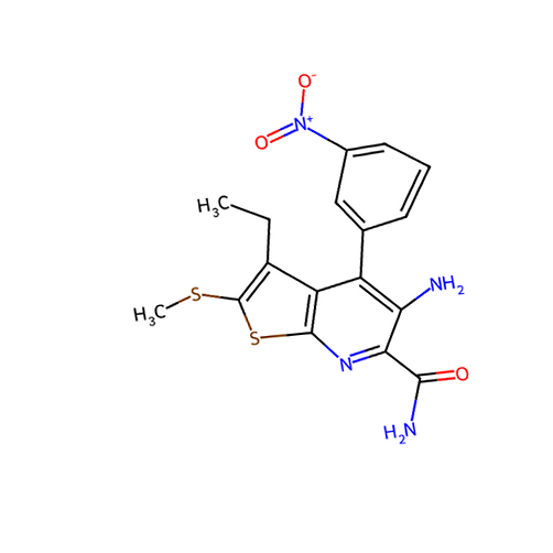 CCc1c(SC)sc2nc(C(N)=O)c(N)c(-c3cccc([N+](=O)[O-])c3)c12